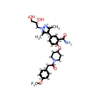 Cc1nn(C[C@@H](O)CO)c(C)c1-c1ccc(OC2CCN(C(=O)Cc3ccc(OC(F)(F)F)cc3)CC2)c(C(N)=O)c1